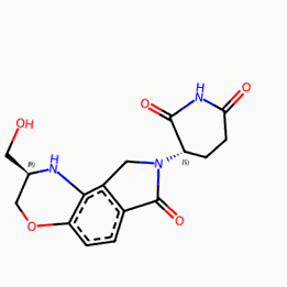 O=C1CC[C@H](N2Cc3c(ccc4c3N[C@H](CO)CO4)C2=O)C(=O)N1